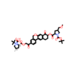 COCC1CC(C(=O)OC2CCc3cc4c(cc3C2=O)OCc2cc(C(=O)COC(=O)[C@@H]3C[C@H](C)C[N+]3(C(=O)O)C(C)(C)C)ccc2-4)N(C(=O)OC(C)(C)C)C1